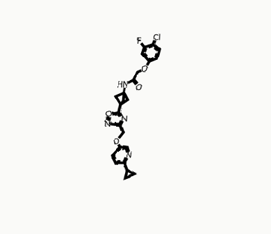 O=C(COc1ccc(Cl)c(F)c1)NC12CC(c3nc(COc4ccc(C5CC5)nc4)no3)(C1)C2